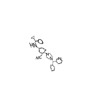 N#Cc1cc(NC(=O)C2CC2)ccc1N1CCN(C(c2ccccc2)c2cccnc2)CC1